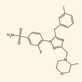 Cc1cccc(Cc2nc(CN3CCOCC3C)nn2-c2ccc(S(N)(=O)=O)cc2F)c1